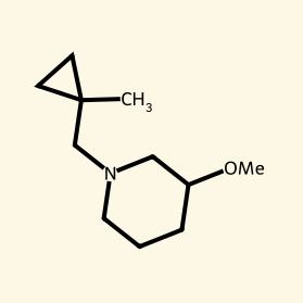 COC1CCCN(CC2(C)CC2)C1